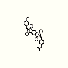 C=Cc1ccc(Cn2c(=O)c3cc4c(=O)n(Cc5ccc(CC(=C)C)cc5)c(=O)c4cc3c2=O)cc1